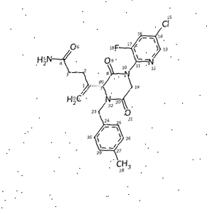 C=C(CCC(N)=O)[C@@H]1C(=O)N(c2ncc(Cl)cc2F)CC(=O)N1Cc1ccc(C)cc1